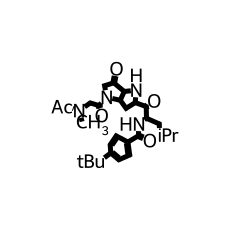 CC(=O)N(C)CC(=O)N1CC(=O)C2NC(C(=O)C(CC(C)C)NC(=O)c3ccc(C(C)(C)C)cc3)CC21